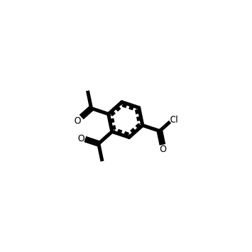 CC(=O)c1ccc(C(=O)Cl)cc1C(C)=O